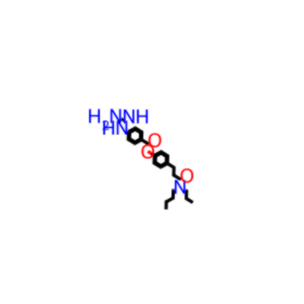 CCCCN(CCC)C(=O)CCc1ccc(OC(=O)c2ccc(NC(=N)N)cc2)cc1